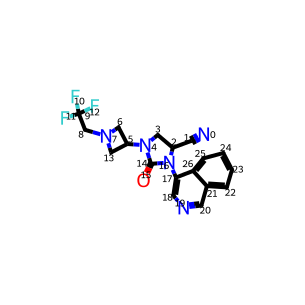 N#CC1CN(C2CN(CC(F)(F)F)C2)C(=O)N1c1cncc2ccccc12